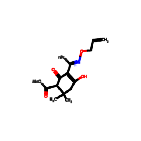 C=CCO/N=C(\CCC)C1=C(O)CC(C)(C)C(C(=O)OC)C1=O